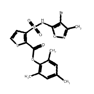 Cc1cc(C)c(OC(=O)c2sccc2S(=O)(=O)Nc2onc(C)c2Br)c(C)c1